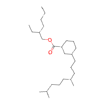 CCCCC(CC)COC(=O)C1CCCC(CCCC(C)CCCC(C)C)C1